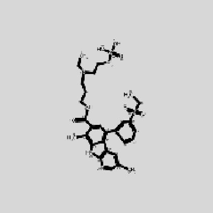 CCN(CCCNC(=O)c1cc(-c2cccc(S(=O)(=O)CC)c2)c2c([nH]c3ncc(C)cc32)c1C)CCOP(=O)(O)O